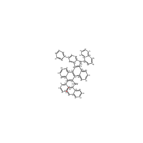 c1ccc(-c2ccc3c(c2)c2c4c5ccccc5c(-c5ccccc5)c(Nc5cccc6ccccc56)c4c4ccccc4c2n3-c2cccc3ccccc23)cc1